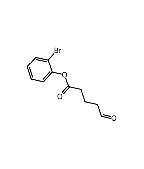 O=CCCCC(=O)Oc1ccccc1Br